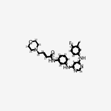 Cc1cc(Nc2cc(Nc3cccc(NC(=O)/C=C/CN4CCOCC4)c3)ncn2)ccc1F